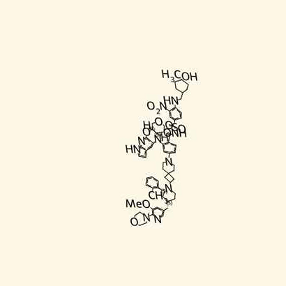 COc1cc(C[C@H]2CCN(C3CC4(CCN(c5ccc(C(=O)NS(=O)(=O)c6ccc(NCC7CCC(C)(O)CC7)c([N+](=O)[O-])c6)c(N6c7cc8cc[nH]c8nc7O[C@H]7COCC[C@@H]76)c5)CC4)C3)[C@H](c3ccccc3C)C2)cnc1N1CCOCC1